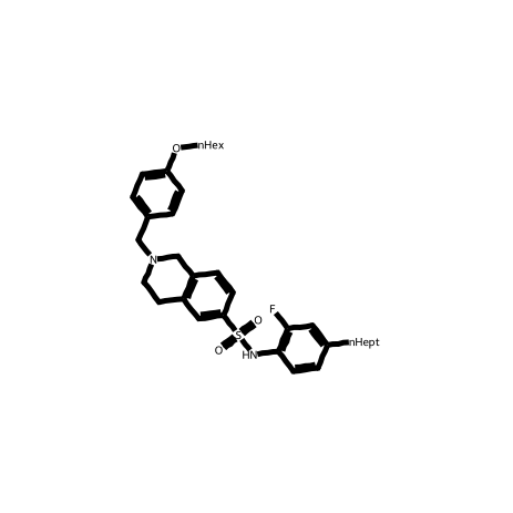 CCCCCCCc1ccc(NS(=O)(=O)c2ccc3c(c2)CCN(Cc2ccc(OCCCCCC)cc2)C3)c(F)c1